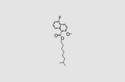 COc1ccc2c(F)cccc2c1C(=O)OCCCCCCC(C)C